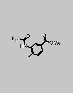 COC(=O)c1ccc(I)c(NC(=O)C(F)(F)F)c1